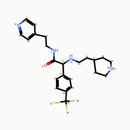 O=C(NCCc1ccncc1)C(NCCC1CCNCC1)c1ccc(C(F)(F)F)cc1